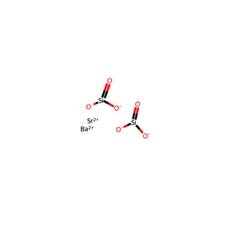 O=[Si]([O-])[O-].O=[Si]([O-])[O-].[Ba+2].[Sr+2]